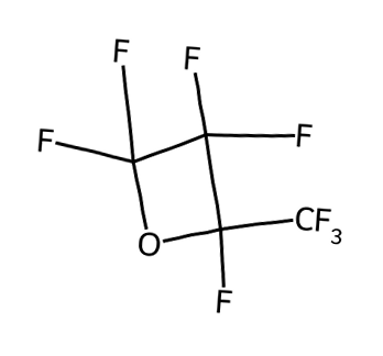 FC(F)(F)C1(F)OC(F)(F)C1(F)F